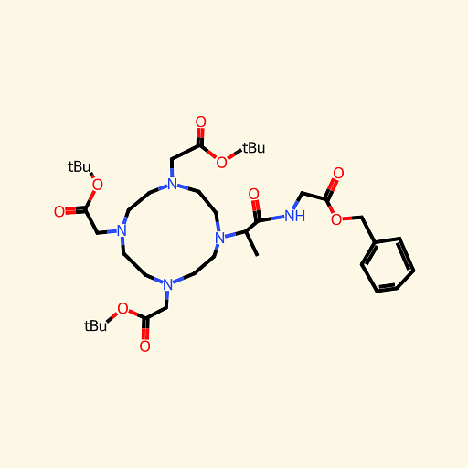 CC(C(=O)NCC(=O)OCc1ccccc1)N1CCN(CC(=O)OC(C)(C)C)CCN(CC(=O)OC(C)(C)C)CCN(CC(=O)OC(C)(C)C)CC1